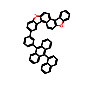 c1cc(-c2ccc3oc4ccc5c(ccc6oc7ccccc7c65)c4c3c2)cc(-c2c3ccccc3c(-c3cccc4ccccc34)c3ccccc23)c1